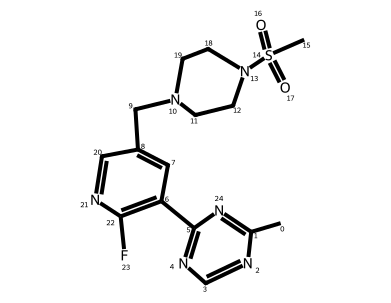 Cc1ncnc(-c2cc(CN3CCN(S(C)(=O)=O)CC3)cnc2F)n1